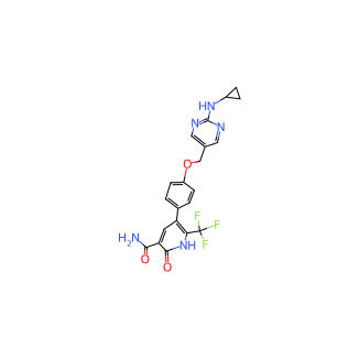 NC(=O)c1cc(-c2ccc(OCc3cnc(NC4CC4)nc3)cc2)c(C(F)(F)F)[nH]c1=O